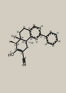 C[C@@H]1C(O)=C(C#N)C[C@]2(C)c3nc(-c4ccccc4)ncc3CC[C@@H]12